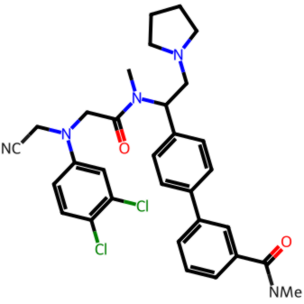 CNC(=O)c1cccc(-c2ccc(C(CN3CCCC3)N(C)C(=O)CN(CC#N)c3ccc(Cl)c(Cl)c3)cc2)c1